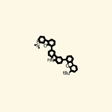 C[SiH](C)c1cccc2c1oc1c(-c3ccc4[nH]c5ccc(-c6cccc7c6OC6C(C(C)(C)C)=CC=CC76)cc5c4c3)cccc12